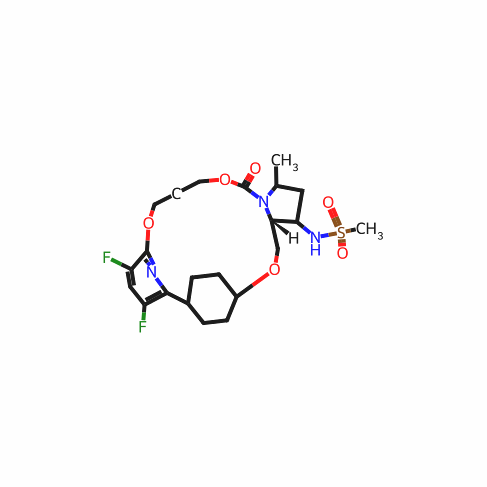 CC1CC(NS(C)(=O)=O)[C@@H]2COC3CCC(CC3)c3nc(c(F)cc3F)OCCCOC(=O)N12